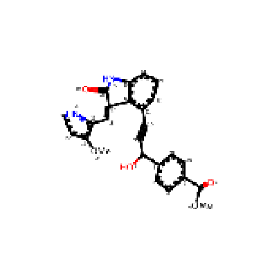 COC(=O)c1ccc(C(O)C#Cc2cccc3c2/C(=C/c2[nH]ccc2OC)C(=O)N3)cc1